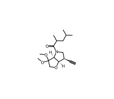 C#C[C@@H]1CN(C(=O)C(C)CC(C)C)[C@H]2[C@@H]1OCC2(OC)OC